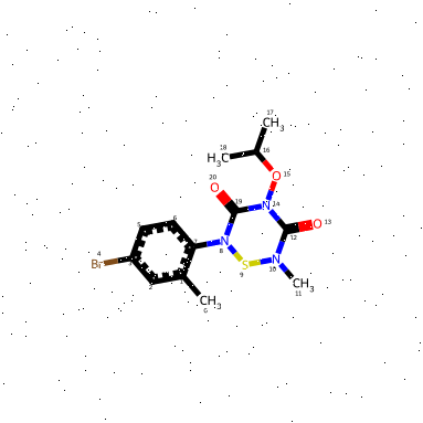 Cc1cc(Br)ccc1N1SN(C)C(=O)N(OC(C)C)C1=O